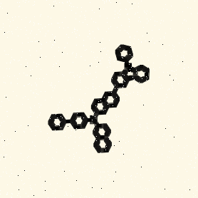 c1ccc(-c2ccc(N(c3ccc4ccccc4c3)c3ccc4cc(-c5ccc6c(c5)c5ccccc5n6-c5ccccc5)ccc4c3)cc2)cc1